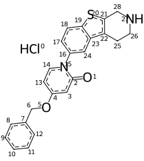 Cl.O=c1cc(OCc2ccccc2)ccn1-c1ccc2sc3c(c2c1)CCNC3